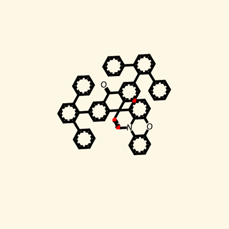 O=C1c2cc(-c3c(-c4ccccc4)cccc3-c3ccccc3)ccc2C2(c3ccc(-c4c(-c5ccccc5)cccc4-c4ccccc4)cc31)c1ccccc1N1c3ccccc3Oc3cccc2c31